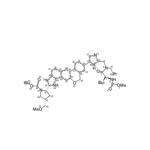 CC[C@H](C)[C@H](NC(=O)OC)C(=O)N(Cc1ncc(-c2ccc3c(c2)COc2cc4c(ccc5nc([C@@H]6C[C@H](COC)CN6C(=O)OC(C)(C)C)[nH]c54)cc2-3)[nH]1)CC(C)C